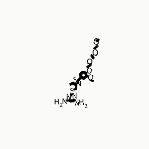 CCOc1cc(-c2nc(CSc3nc(N)cc(N)n3)c(C)s2)ccc1OCCOCCOCCOC